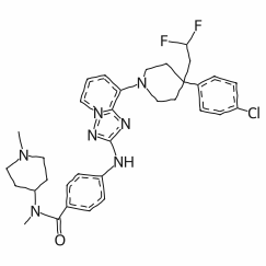 CN1CCC(N(C)C(=O)c2ccc(Nc3nc4c(N5CCC(CC(F)F)(c6ccc(Cl)cc6)CC5)cccn4n3)cc2)CC1